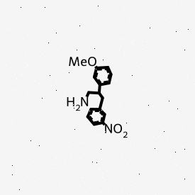 COc1cccc(C(CN)Cc2cccc([N+](=O)[O-])c2)c1